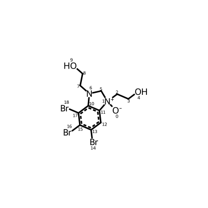 [O-][N+]1(CCO)CN(CCO)c2c1cc(Br)c(Br)c2Br